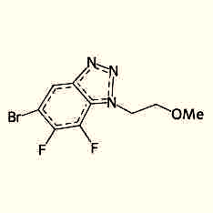 COCCn1nnc2cc(Br)c(F)c(F)c21